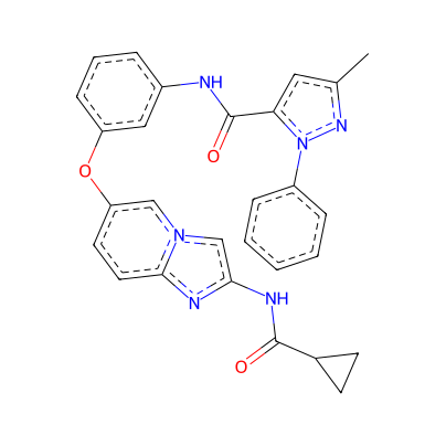 Cc1cc(C(=O)Nc2cccc(Oc3ccc4nc(NC(=O)C5CC5)cn4c3)c2)n(-c2ccccc2)n1